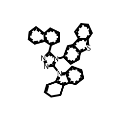 C1=Cc2c(c3ccccc3n2-c2nnc(-c3cccc4ccccc34)n2-c2ccc3sc4ccccc4c3c2)CC1